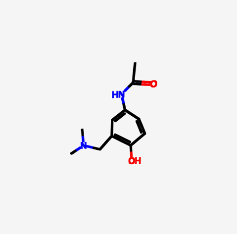 CC(=O)Nc1ccc(O)c(CN(C)C)c1